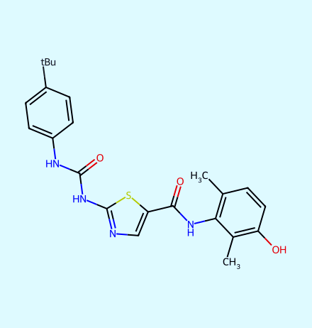 Cc1ccc(O)c(C)c1NC(=O)c1cnc(NC(=O)Nc2ccc(C(C)(C)C)cc2)s1